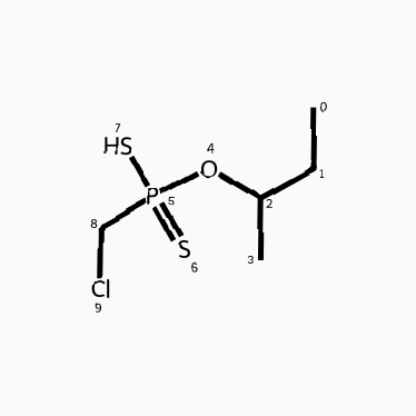 CCC(C)OP(=S)(S)CCl